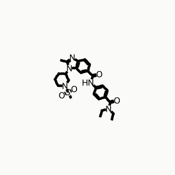 CCN(CC)C(=O)c1ccc(NC(=O)c2ccc3nc(C)n(C4CCCN(S(C)(=O)=O)C4)c3c2)cc1